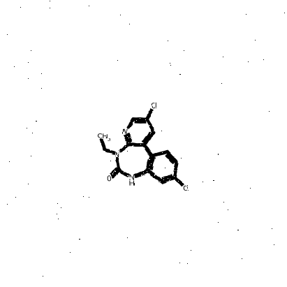 CCN1C(=O)Nc2cc(Cl)ccc2-c2cc(Cl)cnc21